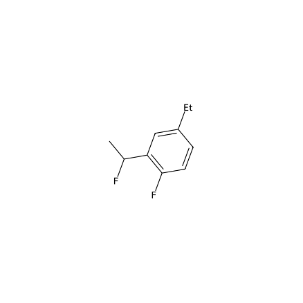 CCc1ccc(F)c(C(C)F)c1